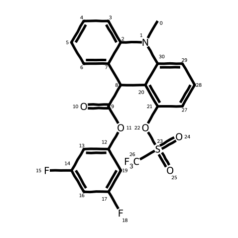 CN1c2ccccc2C(C(=O)Oc2cc(F)cc(F)c2)c2c(OS(=O)(=O)C(F)(F)F)cccc21